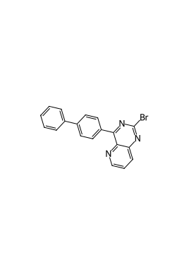 Brc1nc(-c2ccc(-c3ccccc3)cc2)c2ncccc2n1